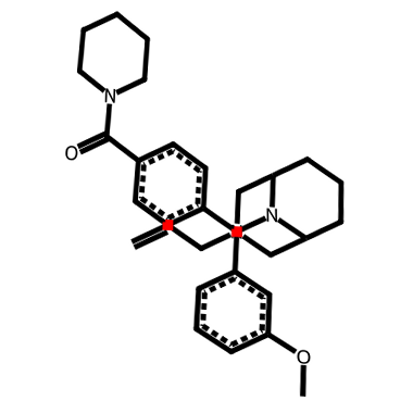 C=CCN1CC2CCCC(C1)N2C(c1ccc(C(=O)N2CCCCC2)cc1)c1cccc(OC)c1